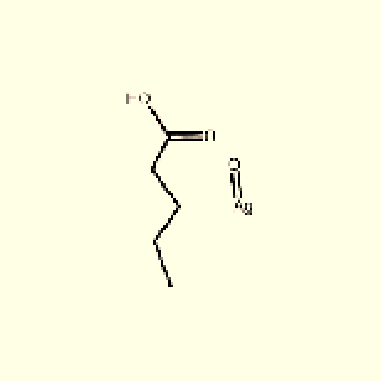 CCCCC(=O)O.[O]=[Ag]